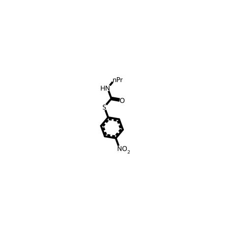 CCCNC(=O)Sc1ccc([N+](=O)[O-])cc1